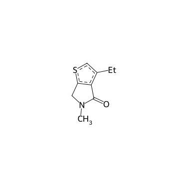 CCc1csc2c1C(=O)N(C)C2